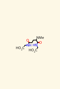 CNC(CCC(=O)NCC(=O)O)C(=O)NCC(=O)O